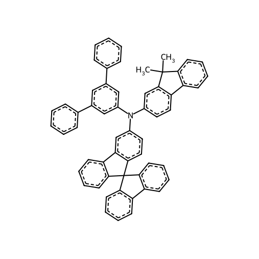 CC1(C)c2ccccc2-c2ccc(N(c3cc(-c4ccccc4)cc(-c4ccccc4)c3)c3ccc4c(c3)-c3ccccc3C43c4ccccc4-c4ccccc43)cc21